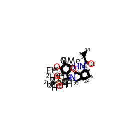 [2H]C([2H])([2H])S(=O)(=O)C([2H])([2H])[C@]([2H])(c1ccc(OC)c(OCC)c1)N1Cc2cccc(NC(=O)C3CC3)c2C1=O